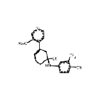 CCC1(Nc2ccc(C#N)c(C(F)(F)F)c2)CCC=C(c2ccncc2OC)C1